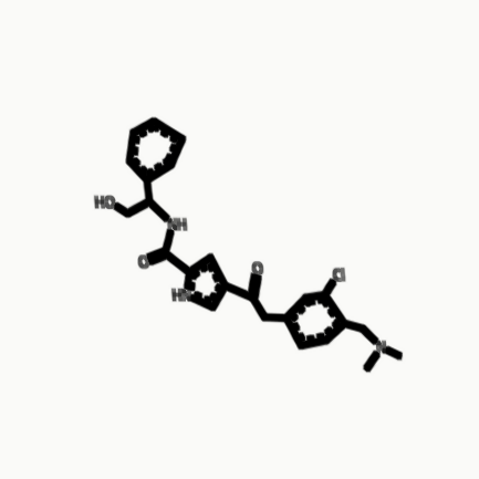 CN(C)Cc1ccc(CC(=O)c2c[nH]c(C(=O)NC(CO)c3ccccc3)c2)cc1Cl